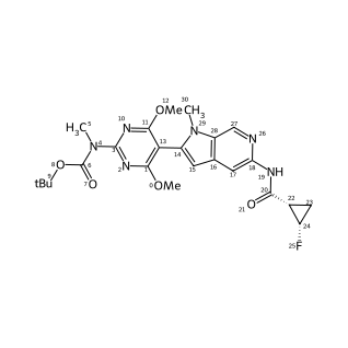 COc1nc(N(C)C(=O)OC(C)(C)C)nc(OC)c1-c1cc2cc(NC(=O)[C@@H]3C[C@@H]3F)ncc2n1C